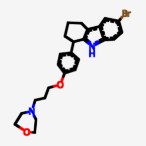 Brc1ccc2[nH]c3c(c2c1)CCCC3c1ccc(OCCCN2CCOCC2)cc1